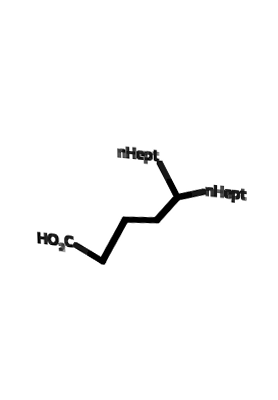 CCCCCCCC(CCCCCCC)CCCC(=O)O